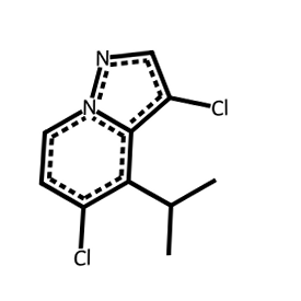 CC(C)c1c(Cl)ccn2ncc(Cl)c12